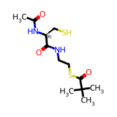 CC(=O)N[C@@H](CS)C(=O)NCCSC(=O)C(C)(C)C